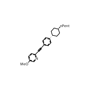 CCCCC[C@H]1CC[C@H](c2ccc(C#Cc3ccc(OC)cn3)cc2)CC1